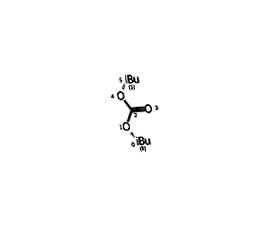 C[CH][C@@H](C)OC(=O)O[C@@H](C)CC